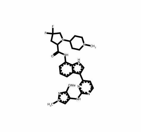 COc1nn(C)cc1Nc1nccc(-c2c[nH]c3c(NC(=O)C4CC(F)(F)CN4C4CCN(C)CC4)cccc23)n1